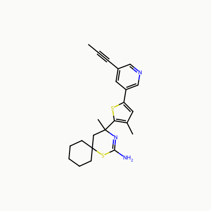 CC#Cc1cncc(-c2cc(C)c(C3(C)CC4(CCCCC4)SC(N)=N3)s2)c1